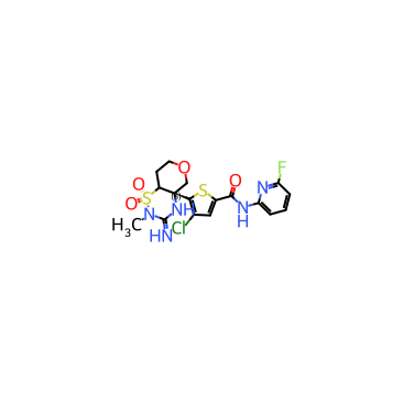 CN1C(=N)N[C@@]2(c3sc(C(=O)Nc4cccc(F)n4)cc3Cl)COCCC2S1(=O)=O